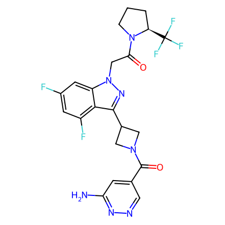 Nc1cc(C(=O)N2CC(c3nn(CC(=O)N4CCC[C@H]4C(F)(F)F)c4cc(F)cc(F)c34)C2)cnn1